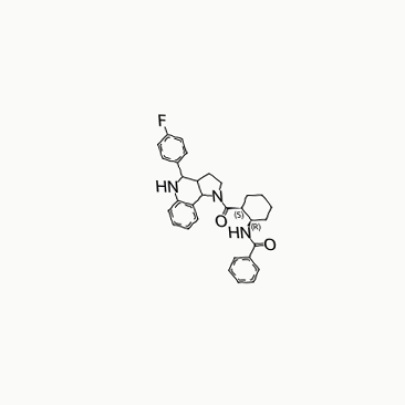 O=C(N[C@@H]1CCCC[C@@H]1C(=O)N1CCC2C(c3ccc(F)cc3)Nc3ccccc3C21)c1ccccc1